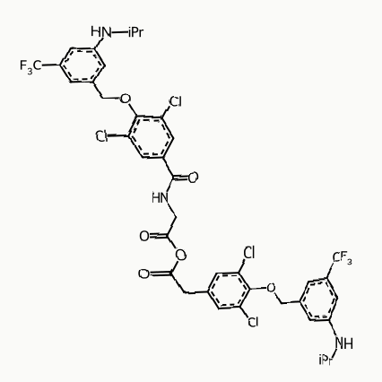 CC(C)Nc1cc(COc2c(Cl)cc(CC(=O)OC(=O)CNC(=O)c3cc(Cl)c(OCc4cc(NC(C)C)cc(C(F)(F)F)c4)c(Cl)c3)cc2Cl)cc(C(F)(F)F)c1